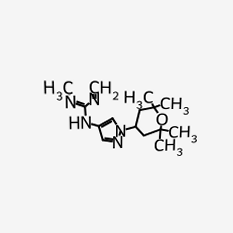 C=N/C(=N\C)Nc1cnn(C2CC(C)(C)OC(C)(C)C2)c1